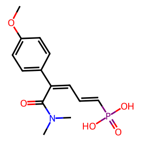 COc1ccc(/C(=C/C=C/P(=O)(O)O)C(=O)N(C)C)cc1